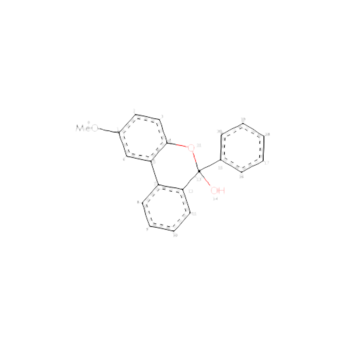 COc1ccc2c(c1)-c1ccccc1C(O)(c1ccccc1)O2